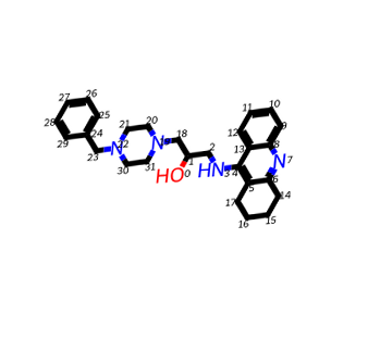 OC(CNc1c2c(nc3ccccc13)CCCC2)CN1CCN(Cc2ccccc2)CC1